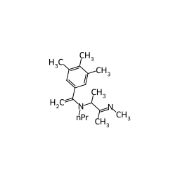 C=C(c1cc(C)c(C)c(C)c1)N(CCC)C(C)/C(C)=N/C